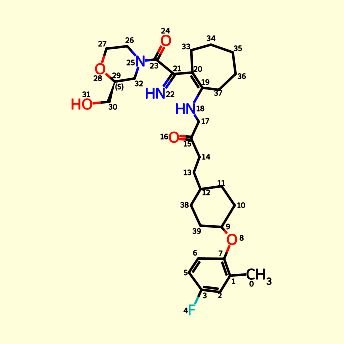 Cc1cc(F)ccc1OC1CCC(CCC(=O)CNC2=C(C(=N)C(=O)N3CCO[C@H](CO)C3)CCCCC2)CC1